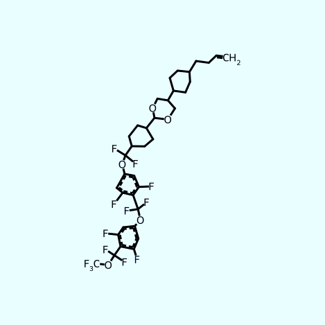 C=CCCC1CCC(C2COC(C3CCC(C(F)(F)Oc4cc(F)c(C(F)(F)Oc5cc(F)c(C(F)(F)OC(F)(F)F)c(F)c5)c(F)c4)CC3)OC2)CC1